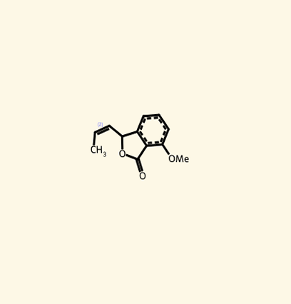 C/C=C\C1OC(=O)c2c(OC)cccc21